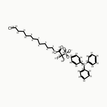 O=C(OCCCCCCCCCCCCl)C(F)(F)S(=O)(=O)[O-].c1ccc([S+](c2ccccc2)c2ccccc2)cc1